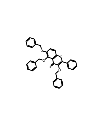 O=c1c(OCc2ccccc2)c(-c2ccccc2)oc2ccc(OCc3ccccc3)c(OCc3ccccc3)c12